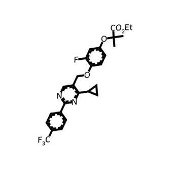 CCOC(=O)C(C)(C)Oc1ccc(OCc2cnc(-c3ccc(C(F)(F)F)cc3)nc2C2CC2)c(F)c1